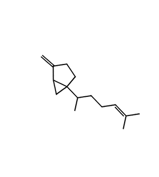 C=C1CCC2(C(C)CCC=C(C)C)CC12